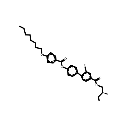 CCCCCCCCOc1ccc(C(=O)Oc2ccc(-c3ccc(C(=O)OC[C@@H](C)CC)cc3F)cc2)cc1